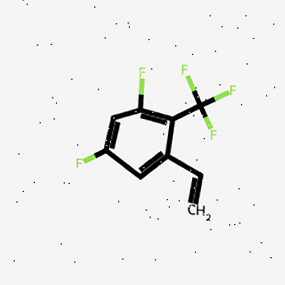 C=Cc1cc(F)cc(F)c1C(F)(F)F